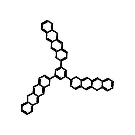 C1=C(c2cc(C3=CC=c4cc5c(cc4C3)=Cc3ccccc3C5)cc(C3=CC=c4cc5c(cc4C3)=Cc3ccccc3C5)c2)Cc2cc3c(cc2=C1)Cc1ccccc1C=3